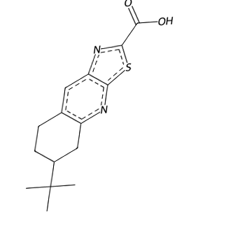 CC(C)(C)C1CCc2cc3nc(C(=O)O)sc3nc2C1